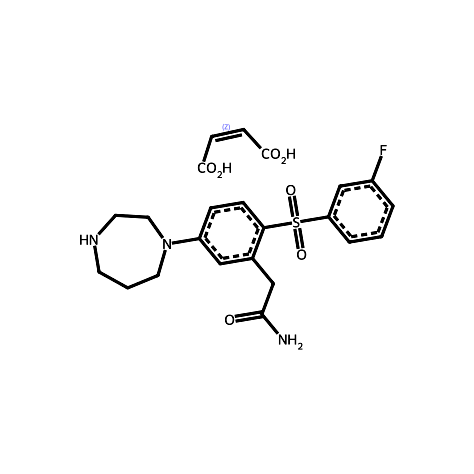 NC(=O)Cc1cc(N2CCCNCC2)ccc1S(=O)(=O)c1cccc(F)c1.O=C(O)/C=C\C(=O)O